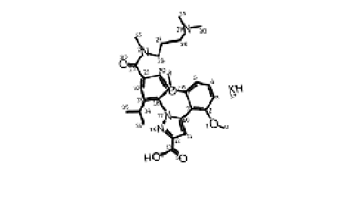 COc1cccc(OC)c1-c1cc(C(=O)O)nn1-c1ccc(C(=O)N(C)CCCN(C)C)cc1C(C)C.[KH]